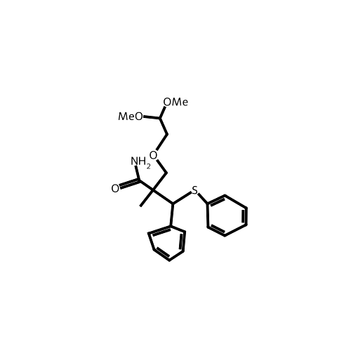 COC(COCC(C)(C(N)=O)C(Sc1ccccc1)c1ccccc1)OC